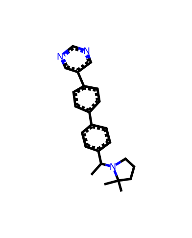 CC(c1ccc(-c2ccc(-c3cncnc3)cc2)cc1)N1CCCC1(C)C